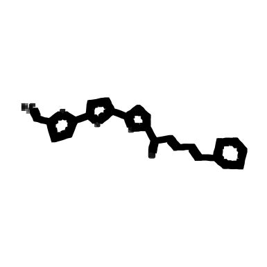 C=Cc1ccc(-c2ccc(-c3ccc(C(=O)/C=C/C=C/c4ccccc4)s3)s2)s1